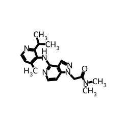 Cc1ccnc(C(C)C)c1Nc1nccc2c1cnn2CC(=O)N(C)C